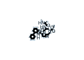 CN[C@@H](C)C(=O)N[C@H]1CN(C(=O)OI)CC[C@H]2CC[C@@H](c3nc4cccc(-c5ccccc5)c4[nH]3)N2C1=O